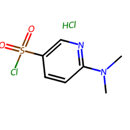 CN(C)c1ccc(S(=O)(=O)Cl)cn1.Cl